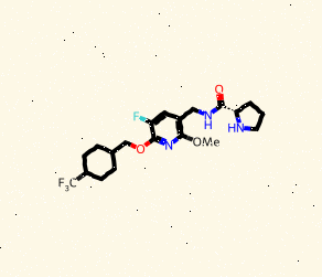 COc1nc(OCC2CCC(C(F)(F)F)CC2)c(F)cc1CNC(=O)[C@@H]1CCCN1